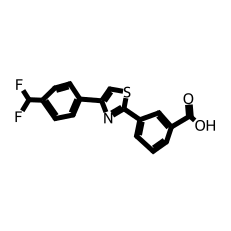 O=C(O)c1cccc(-c2nc(-c3ccc(C(F)F)cc3)cs2)c1